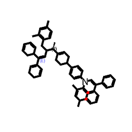 CC1=CC(C)CC=C1N(C=C(c1ccccc1)c1ccccc1)c1ccc(C2CC=C([C@H](C)C(/C=C(/C3=CCCC=C3)C3C=CC=CC3)Cc3ccc(C)cc3C)CC2)cc1